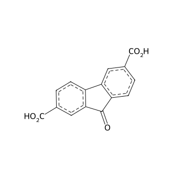 O=C(O)c1ccc2c(c1)C(=O)c1ccc(C(=O)O)cc1-2